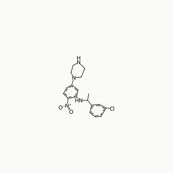 CC(Nc1cc(N2CCNCC2)ccc1[N+](=O)[O-])c1cccc(Cl)c1